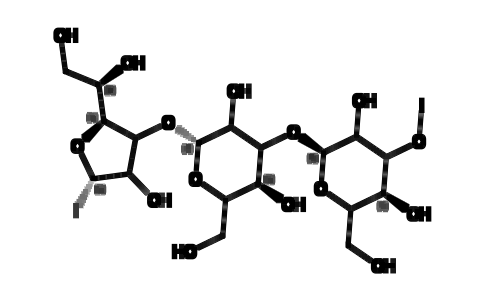 OCC1O[C@H](OC2C(O)[C@H](I)O[C@H]2[C@H](O)CO)C(O)C(O[C@@H]2OC(CO)[C@H](O)C(OI)C2O)[C@H]1O